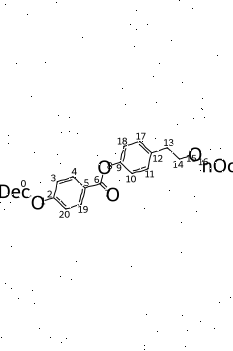 CCCCCCCCCCOc1ccc(C(=O)Oc2ccc(CCOCCCCCCCC)cc2)cc1